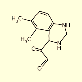 Cc1ccc2c(c1C)C(C(=O)C=O)NCN2